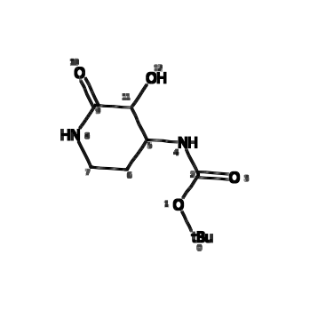 CC(C)(C)OC(=O)NC1CCNC(=O)C1O